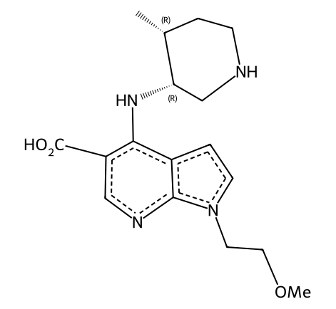 COCCn1ccc2c(N[C@H]3CNCC[C@H]3C)c(C(=O)O)cnc21